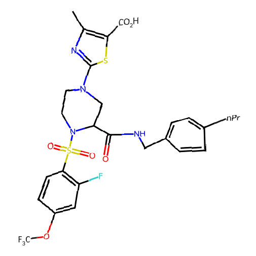 CCCc1ccc(CNC(=O)C2CN(c3nc(C)c(C(=O)O)s3)CCN2S(=O)(=O)c2ccc(OC(F)(F)F)cc2F)cc1